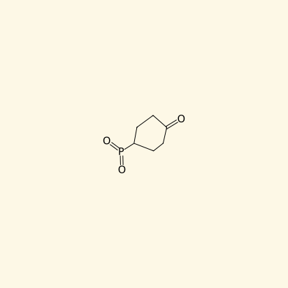 O=C1CCC(P(=O)=O)CC1